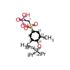 Cc1cc(S(=O)(=O)CP(=O)(O)O)cc(C)c1O[Si](C(C)C)(C(C)C)C(C)C